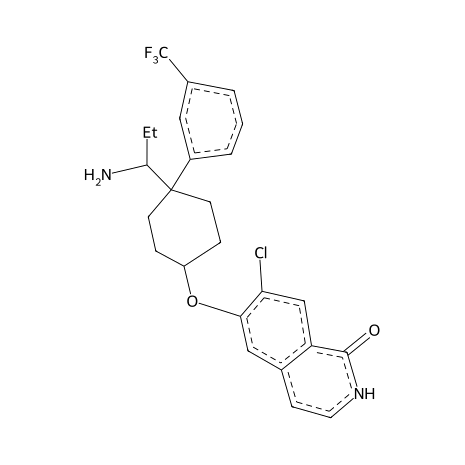 CCC(N)C1(c2cccc(C(F)(F)F)c2)CCC(Oc2cc3cc[nH]c(=O)c3cc2Cl)CC1